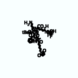 C[C@@H](NC(=O)CCCCCN1C(=O)C=CC1=O)C(=O)N[C@@H](Cc1ccccc1)C(=O)N(C(=O)OC(C)(C)C)[C@@H](CCCCN)C(=O)N[C@@H](CCCCN)C(=O)O.O=C(O)C(F)(F)F